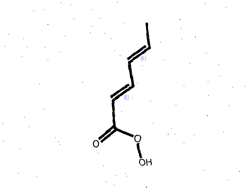 C/C=C/C=C/C(=O)OO